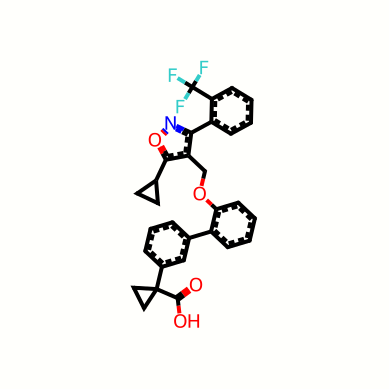 O=C(O)C1(c2cccc(-c3ccccc3OCc3c(-c4ccccc4C(F)(F)F)noc3C3CC3)c2)CC1